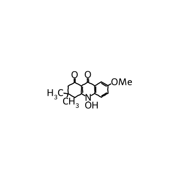 COc1ccc2c(c1)c(=O)c1c(n2O)CC(C)(C)CC1=O